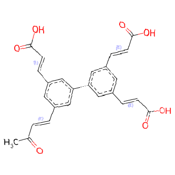 CC(=O)/C=C/c1cc(/C=C/C(=O)O)cc(-c2cc(/C=C/C(=O)O)cc(/C=C/C(=O)O)c2)c1